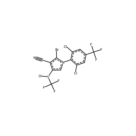 N#Cc1c([S+]([O-])C(F)(F)F)cn(-c2c(Cl)cc(C(F)(F)F)cc2Cl)c1Br